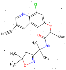 C#Cc1cnc2c(Cl)cc(OC(SC)C(=O)NC(C)(C)C3=NOC(C)(C)C3)cc2c1